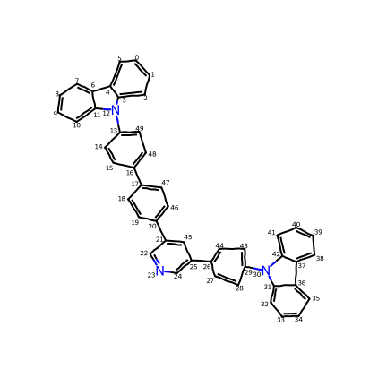 c1ccc2c(c1)c1ccccc1n2-c1ccc(-c2ccc(-c3cncc(-c4ccc(-n5c6ccccc6c6ccccc65)cc4)c3)cc2)cc1